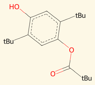 CC(C)(C)C(=O)Oc1cc(C(C)(C)C)c(O)cc1C(C)(C)C